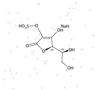 O=C1O[C@H]([C@@H](O)CO)C(O)=C1OS(=O)(=O)O.[NaH]